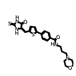 O=C1NC(=S)N/C1=C/c1ccc(-c2ccc(C(=O)NCCCN3CCOCC3)cc2)s1